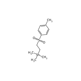 Cc1ccc(S(=O)(=O)C[CH2][Sn]([CH3])([CH3])[CH3])cc1